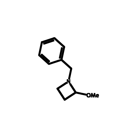 COC1CCN1Cc1ccccc1